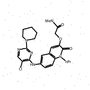 CCCn1c(=O)c(OCC(=O)NC)cc2cc(Nc3nc(N4CCCCC4)ncc3Cl)ccc21